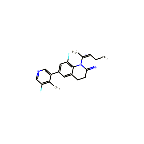 CC/C=C(/C)N1C(=N)CCc2cc(-c3cncc(F)c3C)cc(F)c21